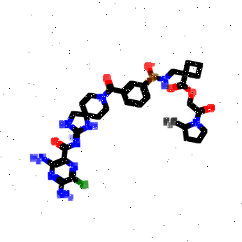 Nc1nc(N)c(C(=O)/N=C2\NCC3(CCN(C(=O)c4cccc([S+]([O-])NCC5(C(=O)OCC(=O)N6CCCC6C(F)(F)F)CCC5)c4)CC3)N2)nc1Cl